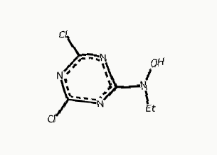 CCN(O)c1nc(Cl)nc(Cl)n1